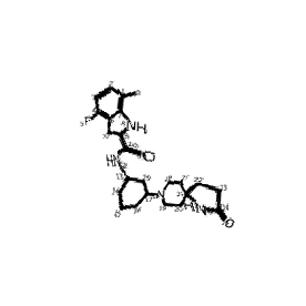 Cc1ccc(F)c2c1NC(C(=O)N[C@@H]1CCCC(N3CCC4(CCC(=O)N4)CC3)C1)C2